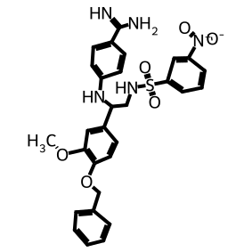 COc1cc(C(CNS(=O)(=O)c2cccc([N+](=O)[O-])c2)Nc2ccc(C(=N)N)cc2)ccc1OCc1ccccc1